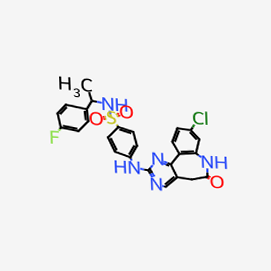 CC(NS(=O)(=O)c1ccc(Nc2ncc3c(n2)-c2ccc(Cl)cc2NC(=O)C3)cc1)c1ccc(F)cc1